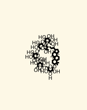 C[C@H](CC[C@@H](O[C@@H]1O[C@H](CO[C@H]2O[C@H](CO)[C@@H](O)[C@H](O)[C@H]2O)[C@@H](O)[C@H](O)[C@H]1O[C@@H]1O[C@H](CO)[C@@H](O)[C@H](O)[C@H]1O)C(C)(C)O)C1CC[C@@]2(C)C3CC=C4C(CC[C@H](O[C@@H]5O[C@H](CO[C@@H]6O[C@H](CO)[C@@H](O)[C@H](O)[C@H]6O)[C@@H](O)[C@H](O)[C@H]5O)C4(C)C)[C@]3(C)[C@H](C)C[C@]12C